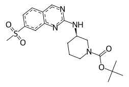 CC(C)(C)OC(=O)N1CCC[C@@H](Nc2ncc3ccc(S(C)(=O)=O)cc3n2)C1